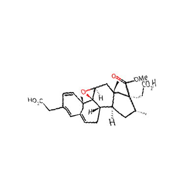 COC(=O)[C@@]1(CC(=O)O)[C@H](C)C[C@H]2[C@@H]3CC=C4C=C(CC(=O)O)C=C[C@]4(C)[C@@]34O[C@H]4C[C@@]21C